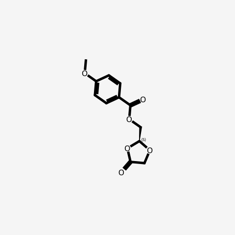 COc1ccc(C(=O)OC[C@H]2OCC(=O)O2)cc1